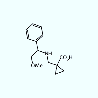 COCC(NCC1(C(=O)O)CC1)c1ccccc1